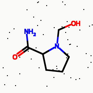 NC(=O)C1CCCN1CO